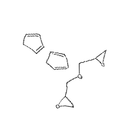 C(OCC1CO1)C1CO1.C1=CCC=C1.C1=CCC=C1